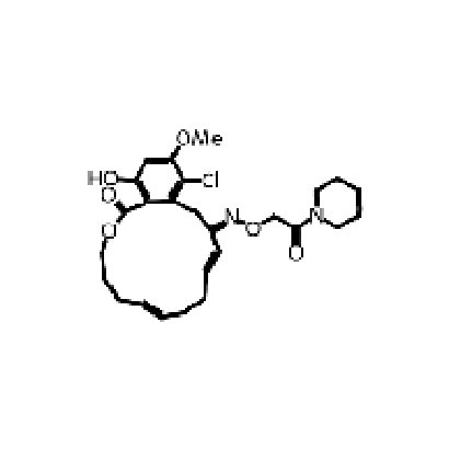 COc1cc(O)c2c(c1Cl)CC(=N/OCC(=O)N1CCCCC1)/C=C/CC/C=C/CCCOC2=O